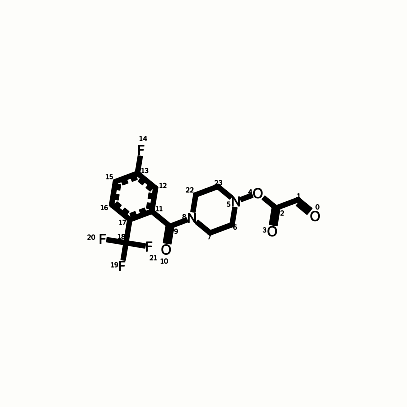 O=CC(=O)ON1CCN(C(=O)c2cc(F)ccc2C(F)(F)F)CC1